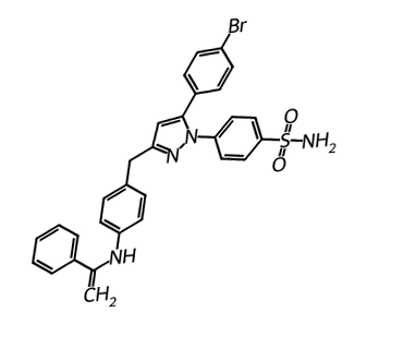 C=C(Nc1ccc(Cc2cc(-c3ccc(Br)cc3)n(-c3ccc(S(N)(=O)=O)cc3)n2)cc1)c1ccccc1